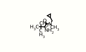 CN(CC1CC1)C(=O)[C@@H](N)C(C)(C)C